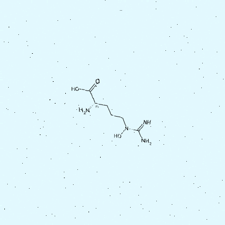 N=C(N)N(O)CCC[C@H](N)C(=O)O